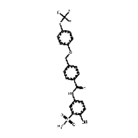 CS(=O)(=O)c1cc(NC(=O)c2ccc(COc3ccc(SC(F)(F)F)cc3)cc2)ccc1O